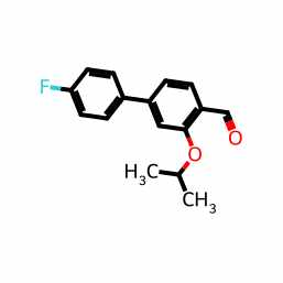 CC(C)Oc1cc(-c2ccc(F)cc2)ccc1C=O